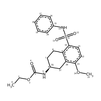 CCOC(=O)N[C@H]1CCc2c(S(=O)(=O)Nc3ccccc3)ccc(OC)c2C1